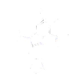 CC(C)n1c(N[C@H]2CCNC2)nc2c([N+](=O)[O-])c(Br)c(Br)cc21.Cl